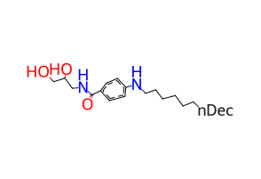 CCCCCCCCCCCCCCCCNc1ccc(C(=O)NCC(O)CO)cc1